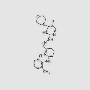 Cc1cccc(Cl)c1NC1=CCCC(/C=N\NC2N=CC(F)=C(N3CCOCC3)N2)=N1